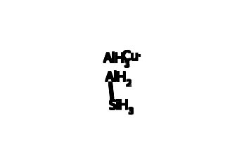 [AlH2][SiH3].[AlH3].[Cu]